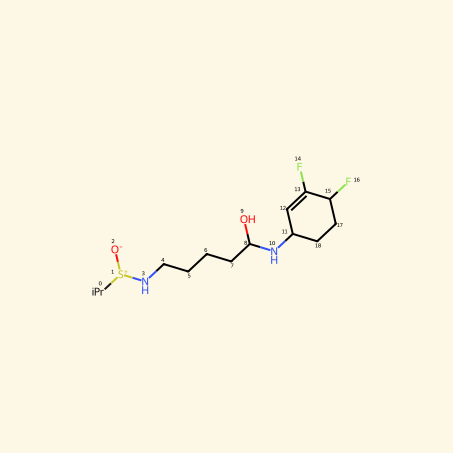 CC(C)[S+]([O-])NCCCCC(O)NC1C=C(F)C(F)CC1